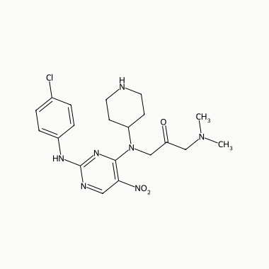 CN(C)CC(=O)CN(c1nc(Nc2ccc(Cl)cc2)ncc1[N+](=O)[O-])C1CCNCC1